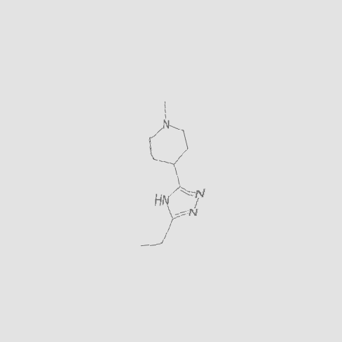 CCc1nnc(C2CCN(C)CC2)[nH]1